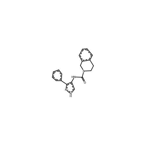 O=C(Nc1c[nH]nc1-c1ccccc1)N1CCc2ccccc2C1